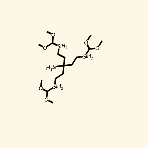 COC(OC)[SiH2]CCC([SiH3])(CC[SiH2]C(OC)OC)CC[SiH2]C(OC)OC